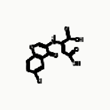 O=C(O)C=C(Nc1coc2ccc(Cl)cc2c1=O)C(=O)O